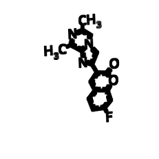 Cc1cn2cc(-c3cc4ccc(F)cc4oc3=O)nc2c(C)n1